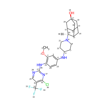 COc1cc(NC2CCN([C@H]3C4CC5CC3C[C@@](O)(C5)C4)CC2)ccc1Nc1ncc(C(F)(F)F)c(Cl)n1